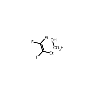 CC/C(F)=C(/F)CC.O=C(O)O